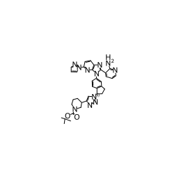 CC(C)(C)OC(=O)N1CCCC(c2cn([C@H]3CCc4cc(-n5c(-c6cccnc6N)nc6ccc(-n7cccn7)nc65)ccc43)nn2)C1